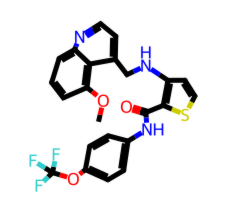 COc1cccc2nccc(CNc3ccsc3C(=O)Nc3ccc(OC(F)(F)F)cc3)c12